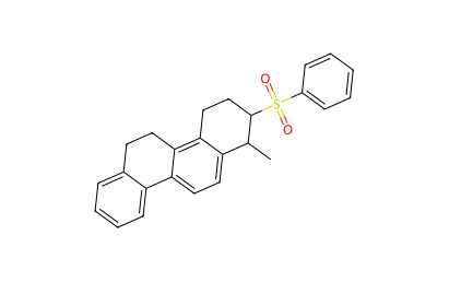 CC1c2ccc3c(c2CCC1S(=O)(=O)c1ccccc1)CCc1ccccc1-3